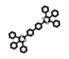 c1ccc(-c2nc(-c3ccc(-c4ccc(-c5nc(-c6ccccc6)c(-c6ccccc6)c(-c6ccccc6)n5)cc4)cc3)nc(-c3ccccc3)c2-c2ccccc2)cc1